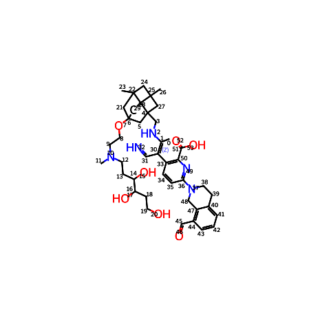 C/C(NCC12CC3(OCCN(C)CCC(O)C(O)CCO)CC4(C)CC(C)(C1)C42C3)=C(/C=N)c1ccc(N2CCc3cccc(C=O)c3C2)nc1C(=O)O